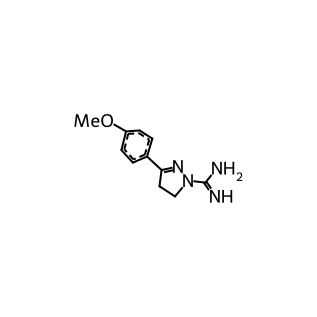 COc1ccc(C2=NN(C(=N)N)CC2)cc1